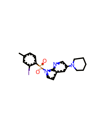 Cc1ccc(S(=O)(=O)n2ccc3cc(N4CCCCC4)cnc32)c(I)c1